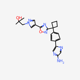 CC(C)(O)Cn1cc(-c2nc(C3(c4ccc(-c5cnc(N)cn5)cc4)CCC3)no2)cn1